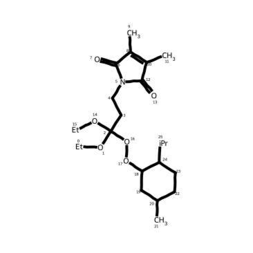 CCOC(CCN1C(=O)C(C)=C(C)C1=O)(OCC)OOC1CC(C)CCC1C(C)C